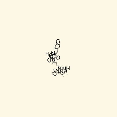 COC(=O)N(C(=O)[C@@H](N)Cc1ccc(Cl)cc1)[C@@H](C)CCCN1C(=N)N[C@](CC(C)C)(c2ccccc2)C1=O